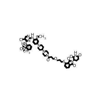 COc1cc(N2CCC(N3CCN(C(=O)CCOCCCSc4cccc5c4C(=O)N(C4CCC(=O)NC4=O)C5=O)CC3)CC2)ccc1Nc1ncc(Cl)c(Nc2ccccc2P(C)(C)=O)n1